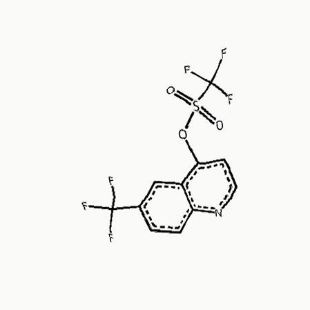 O=S(=O)(Oc1ccnc2ccc(C(F)(F)F)cc12)C(F)(F)F